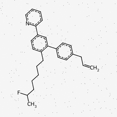 C=CCc1ccc(-c2cc(-c3ccccn3)ccc2CCCCCC(C)F)cc1